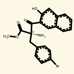 COC(=O)[C@](N)(Cc1ccc(Br)cc1)C(=O)c1cc2ccccc2cc1O